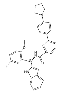 COc1ccc(F)cc1[C@@H](NC(=O)c1cccc(-c2ccc(N3CCCC3)cc2)c1)c1cc2ccccc2[nH]1